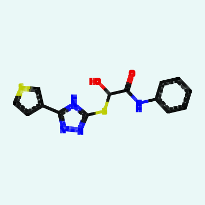 O=C(Nc1ccccc1)C(O)Sc1nnc(-c2ccsc2)[nH]1